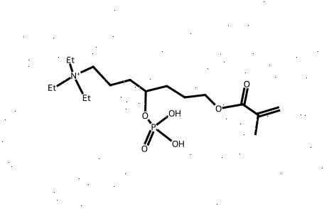 C=C(C)C(=O)OCCCC(CCC[N+](CC)(CC)CC)OP(=O)(O)O